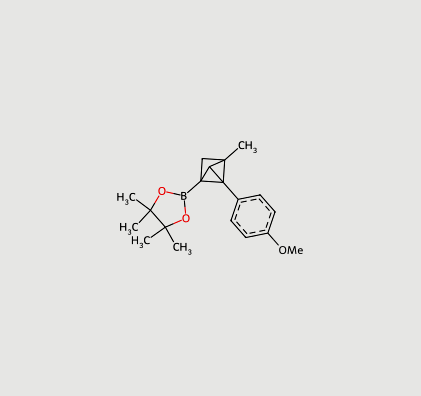 COc1ccc(C2C3(C)CC2(B2OC(C)(C)C(C)(C)O2)C3)cc1